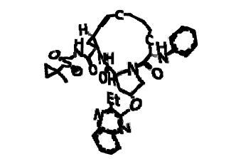 CCc1nc2ccccc2nc1O[C@@H]1C[C@H]2C(=O)N[C@]3(C(=O)NS(=O)(=O)C4(C)CC4)C[C@H]3/C=C\CCCCC[C@H](Nc3ccccc3)C(=O)N2C1